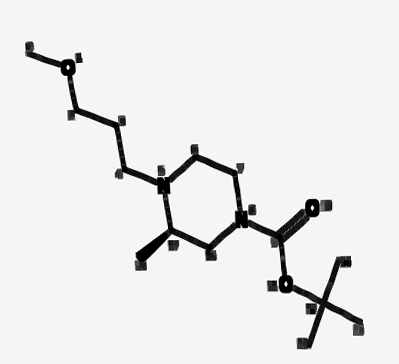 COCCCN1CCN(C(=O)OC(C)(C)C)C[C@H]1C